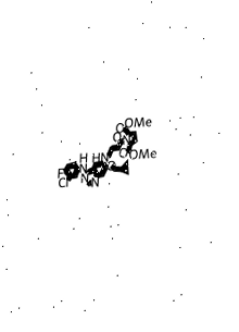 COC(=O)C1CCC(C(=O)OC)N1C(=O)/C=C/CNc1cc2c(Nc3ccc(F)c(Cl)c3)ncnc2cc1OCC1CC1